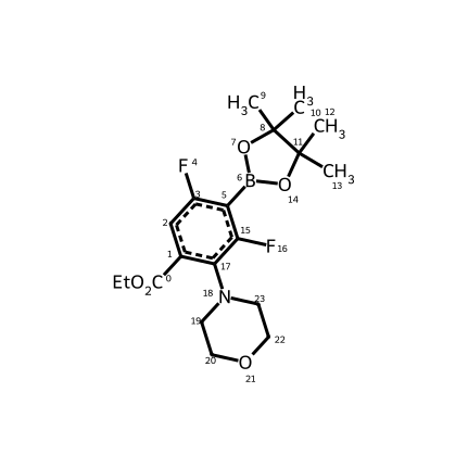 CCOC(=O)c1cc(F)c(B2OC(C)(C)C(C)(C)O2)c(F)c1N1CCOCC1